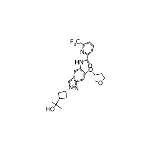 CC(C)(O)[C@H]1C[C@H](n2cc3cc(NC(=O)c4cccc(C(F)(F)F)n4)c(OC4CCOC4)cc3n2)C1